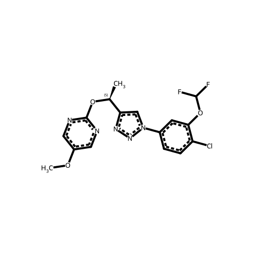 COc1cnc(O[C@@H](C)c2cn(-c3ccc(Cl)c(OC(F)F)c3)nn2)nc1